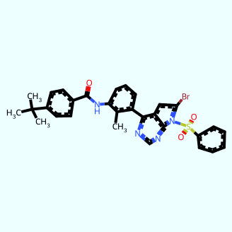 Cc1c(NC(=O)c2ccc(C(C)(C)C)cc2)cccc1-c1ncnc2c1cc(Br)n2S(=O)(=O)c1ccccc1